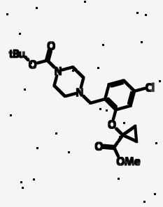 COC(=O)C1(Oc2cc(Cl)ccc2CN2CCN(C(=O)OC(C)(C)C)CC2)CC1